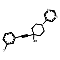 OC1(C#Cc2cccc(Cl)c2)CCN(c2cncnc2)CC1